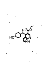 CCOC(=O)c1cnc2[nH]ccc2c1N[C@H]1CC[C@@H](O)CC1